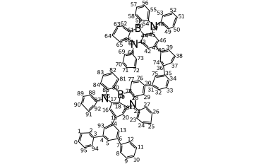 c1ccc(-c2cc(-c3ccccc3)cc(-c3cc4c5c(c3)N(c3ccccc3)c3cc(-c6cccc(-c7cccc(-c8cc9c%10c(c8)N(c8ccccc8)c8ccccc8B%10c8ccccc8N9c8ccccc8)c7)c6)ccc3B5c3ccccc3N4c3ccccc3)c2)cc1